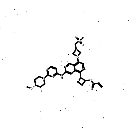 C=CC(=O)N[C@H]1CC[C@H]1c1ccc(N2CC(CS(C)(=O)=O)C2)c2cnc(Nc3ccnc(N4CC[C@@H](OC)[C@@H](F)C4)n3)cc12